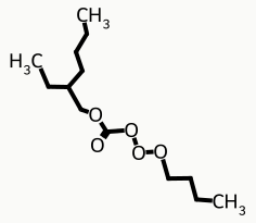 CCCCOOOC(=O)OCC(CC)CCCC